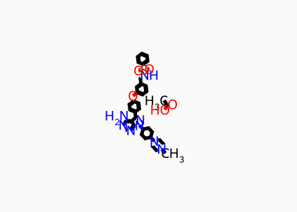 CC(=O)O.CN1CCN(C2CCC(n3nc(-c4ccc(Oc5cccc(CNS(=O)(=O)c6ccccc6)c5)cc4)c4c(N)ncnc43)CC2)CC1